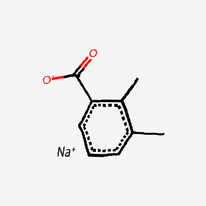 Cc1cccc(C(=O)[O-])c1C.[Na+]